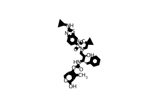 CC1C2CC(COC2O)C1OC(=O)N[C@@H](Cc1ccccc1)[C@H](O)CN(CC1(C)CC1)S(=O)(=O)c1ccc2nc(NC3=CC3)sc2c1